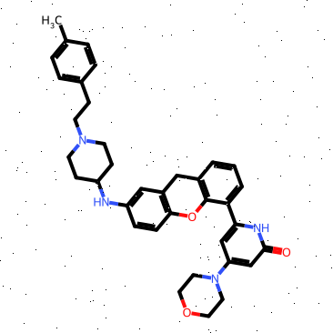 Cc1ccc(CCN2CCC(Nc3ccc4c(c3)Cc3cccc(-c5cc(N6CCOCC6)cc(=O)[nH]5)c3O4)CC2)cc1